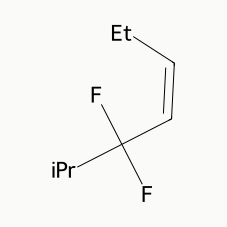 CC/C=C\C(F)(F)C(C)C